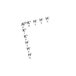 [Al+3].[H-].[H-].[H-].[H-].[H-].[H-].[K+].[K+].[K+]